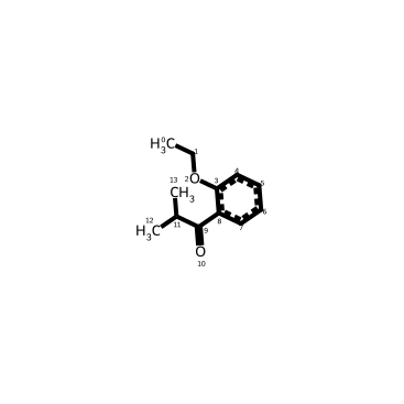 CCOc1ccccc1C(=O)C(C)C